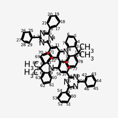 CC1(C)c2ccccc2N(c2cc(-c3nc(-c4ccccc4)nc(-c4ccccc4)n3)ccc2-c2ccc(-c3nc(-c4ccccc4)nc(-c4ccccc4)n3)cc2N2c3ccccc3C(C)(C)c3ccccc32)c2ccccc21